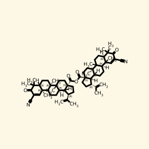 C=C(C)[C@@H]1CC[C@]2(C(=O)OC(=O)[C@]34CC[C@@H](C(=C)C)[C@@H]3[C@H]3CC[C@@H]5[C@@]6(C)C=C(C#N)C(=O)C(C)(C)[C@@H]6CC[C@@]5(C)[C@]3(C)CC4)CC[C@]3(C)[C@H](CCC4[C@@]5(C)C=C(C#N)C(=O)C(C)(C)[C@@H]5CC[C@]43C)[C@@H]12